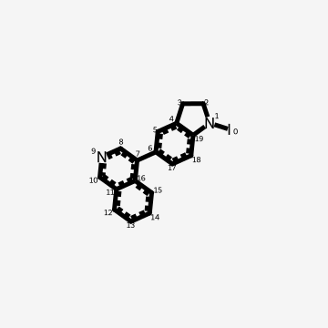 IN1CCc2cc(-c3cncc4ccccc34)ccc21